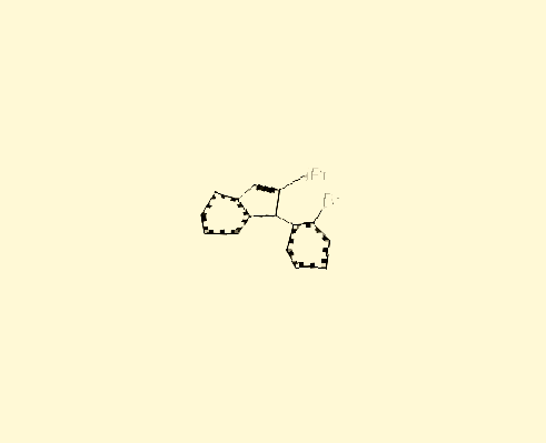 CC(C)C1=Cc2ccccc2C1c1ccccc1Br